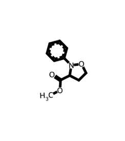 COC(=O)C1CCON1c1ccccc1